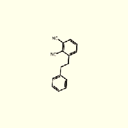 N#Cc1cccc(CCc2ccccc2)c1C#N